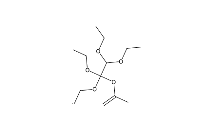 [CH2]COC(OCC)(OC(=C)C)C(OCC)OCC